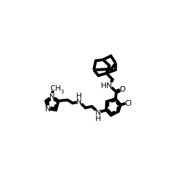 Cn1cncc1CCNCCNc1ccc(Cl)c(C(=O)NCC23CC4CC(CC(C4)C2)C3)c1